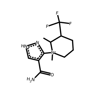 CC1C(C(F)(F)F)CCC[N+]1(C)c1n[nH]cc1C(N)=O